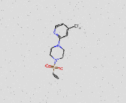 C=CS(=O)(=O)N1CCN(c2cc(C(F)(F)F)ccn2)CC1